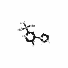 CCC[CH2][Sn]([CH2]CCC)([CH2]CCC)[c]1cc(-n2ccnn2)c(F)cn1